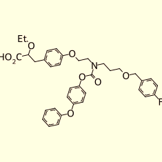 CCOC(Cc1ccc(OCCN(CCCOCc2ccc(F)cc2)C(=O)Oc2ccc(Oc3ccccc3)cc2)cc1)C(=O)O